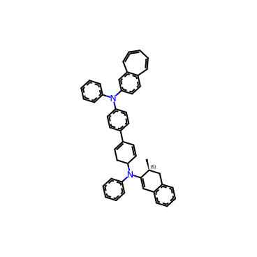 C[C@H]1Cc2ccccc2C=C1N(c1ccccc1)C1C=CC(c2ccc(N(c3ccccc3)c3ccc4c(c3)C=C=CC=C4)cc2)=CC1